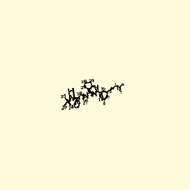 CN(C)CC#Cc1ccnc(-c2nc3c(c(N(C)CC(=O)NC(C)(C)C)n2)CCC3)c1